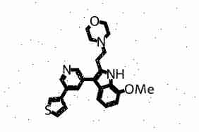 COc1cccc2c(-c3cncc(-c4ccsc4)c3)c(CCN3CCOCC3)[nH]c12